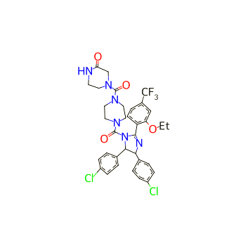 CCOc1cc(C(F)(F)F)ccc1C1=NC(c2ccc(Cl)cc2)C(c2ccc(Cl)cc2)N1C(=O)N1CCN(C(=O)N2CCNC(=O)C2)CC1